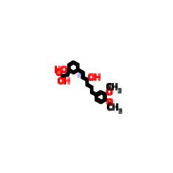 COc1ccc(CCCC(O)/C=C/C2CCCC(O)(CC(=O)O)C2)cc1OC